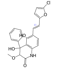 COC1C(=O)Nc2ccc(/C=C/c3ccc(Cl)o3)c(O)c2C1(O)c1ccccc1